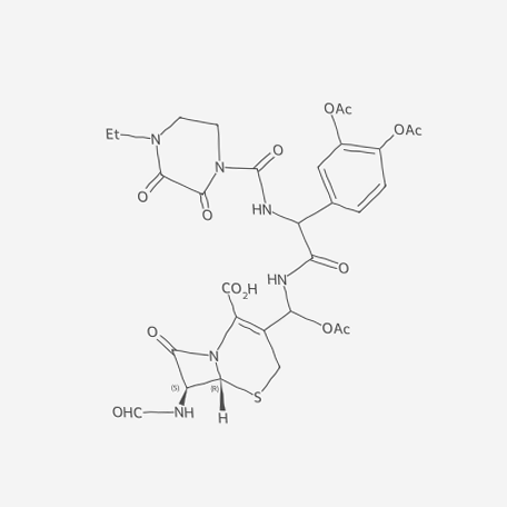 CCN1CCN(C(=O)NC(C(=O)NC(OC(C)=O)C2=C(C(=O)O)N3C(=O)[C@H](NC=O)[C@H]3SC2)c2ccc(OC(C)=O)c(OC(C)=O)c2)C(=O)C1=O